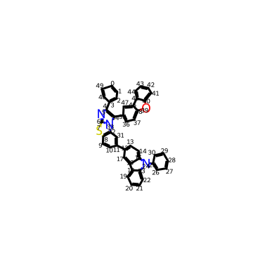 c1ccc(-c2nc3sc4ccc(-c5ccc6c(c5)c5ccccc5n6-c5ccccc5)cc4n3c2-c2ccc3oc4ccccc4c3c2)cc1